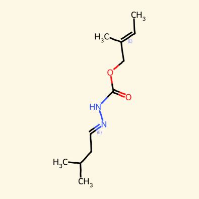 C/C=C(\C)COC(=O)N/N=C/CC(C)C